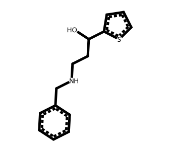 OC(CCNCc1ccccc1)c1cccs1